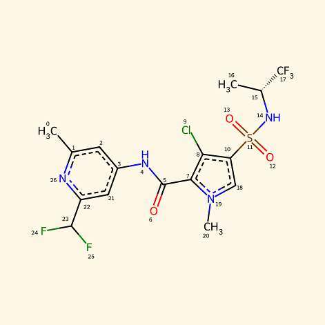 Cc1cc(NC(=O)c2c(Cl)c(S(=O)(=O)N[C@H](C)C(F)(F)F)cn2C)cc(C(F)F)n1